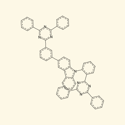 c1ccc(-c2nc(-c3ccccc3)nc(-c3cccc(-c4ccc5c(c4)c4ccccc4n5-c4ccccc4-c4nc(-c5ccccc5)nc(-c5ccccc5)n4)c3)n2)cc1